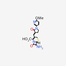 COc1ccc(N2CCC(=CC3=C(C(=O)O)N4C(=O)[C@@H](N)[C@H]4SC3)C2=O)cn1